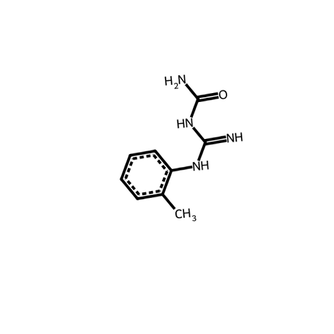 Cc1ccccc1NC(=N)NC(N)=O